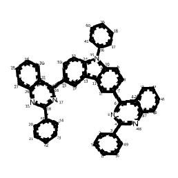 c1ccc(-c2nc(-c3ccc4c(c3)c3cc(-c5nc(-c6ccccc6)nc6ccccc56)ccc3n4-c3ccccc3)c3ccccc3n2)cc1